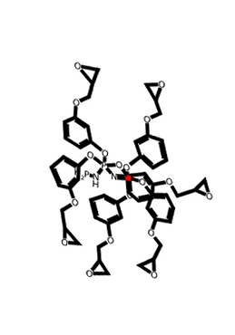 PNP(N=P(Oc1cccc(OCC2CO2)c1)(Oc1cccc(OCC2CO2)c1)Oc1cccc(OCC2CO2)c1)(Oc1cccc(OCC2CO2)c1)(Oc1cccc(OCC2CO2)c1)Oc1cccc(OCC2CO2)c1